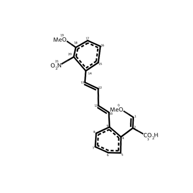 CO/C=C(/C(=O)O)c1ccccc1/C=C/C=C/c1cccc(OC)c1[N+](=O)[O-]